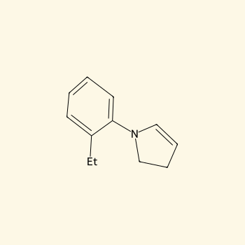 CCc1ccccc1N1C=CCC1